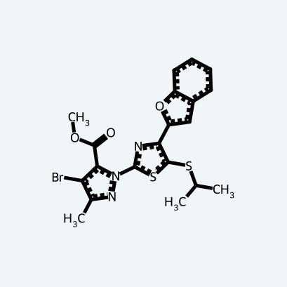 COC(=O)c1c(Br)c(C)nn1-c1nc(-c2cc3ccccc3o2)c(SC(C)C)s1